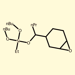 CCCCO[Si](CC)(OCCCC)OC(CCC)C1CCC2OC2C1